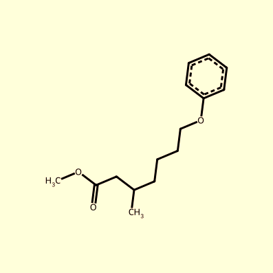 COC(=O)CC(C)CCCCOc1ccccc1